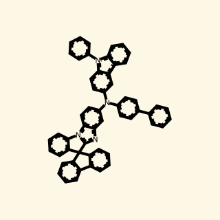 c1ccc(-c2ccc(N(c3ccc4c(c3)nc3n4-c4ccccc4C34c3ccccc3-c3ccccc34)c3ccc4c(c3)c3ccccc3n4-c3ccccc3)cc2)cc1